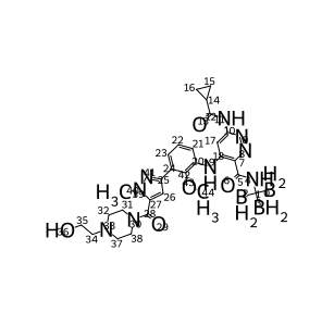 BC(B)(B)NC(=O)c1nnc(NC(=O)C2CC2)cc1Nc1cccc(-c2cc(C(=O)N3CCN(CCO)CC3)n(C)n2)c1OC